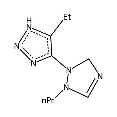 CCCN1[C]=NCN1c1nn[nH]c1CC